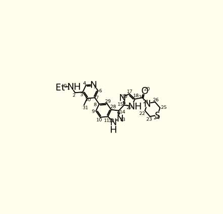 CCNCc1cncc(-c2ccc3[nH]nc(-c4ncc(C(=O)N5CCSCC5)[nH]4)c3c2)c1C